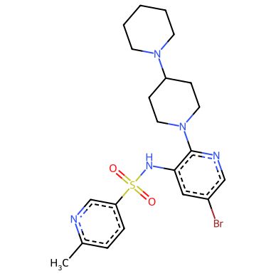 Cc1ccc(S(=O)(=O)Nc2cc(Br)cnc2N2CCC(N3CCCCC3)CC2)cn1